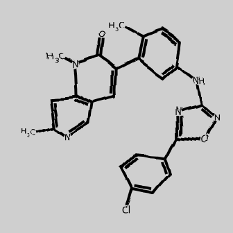 Cc1cc2c(cn1)cc(-c1cc(Nc3noc(-c4ccc(Cl)cc4)n3)ccc1C)c(=O)n2C